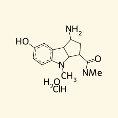 CNC(=O)C1CC(N)C2c3cc(O)ccc3N(C)C12.Cl.O